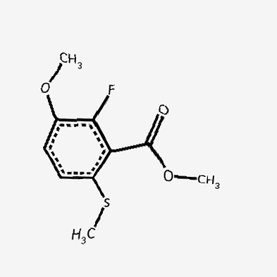 COC(=O)c1c(SC)ccc(OC)c1F